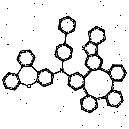 c1ccc(-c2ccc(N(c3ccc4c(c3)-c3ccccc3-c3ccccc3O4)c3ccc4c5ccccc5c5ccccc5c5ccccc5c5cc6c(cc5c4c3)sc3ccccc36)cc2)cc1